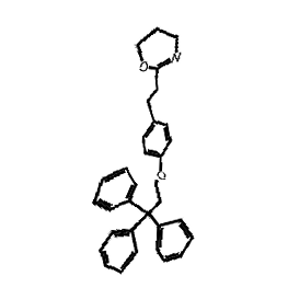 c1ccc(C(CCOc2ccc(CCC3=NCCCO3)cc2)(c2ccccc2)c2ccccc2)cc1